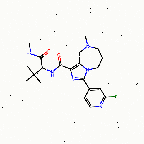 CNC(=O)C(NC(=O)c1nc(-c2ccnc(Cl)c2)n2c1CN(C)CCC2)C(C)(C)C